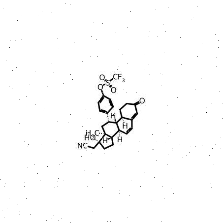 C[C@]12C[C@H](c3ccc(OS(=O)(=O)C(F)(F)F)cc3)[C@H]3[C@@H](C=CC4=CC(=O)CC[C@@H]43)[C@@H]1CC[C@@]2(O)CC#N